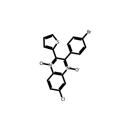 [O-][n+]1c(-c2ccc(Br)cc2)c(-c2cccs2)[n+]([O-])c2ccc(Cl)cc21